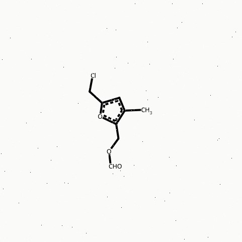 Cc1cc(CCl)oc1COC=O